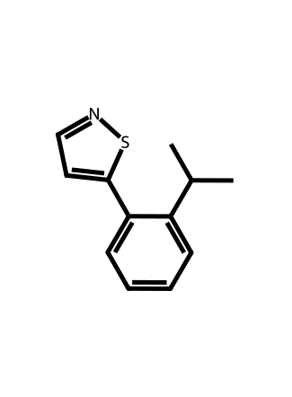 CC(C)c1ccccc1-c1ccns1